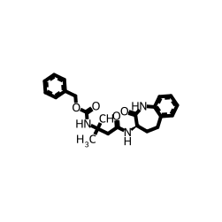 CC(C)(CC(=O)N[C@@H]1CCc2ccccc2NC1=O)NC(=O)OCc1ccccc1